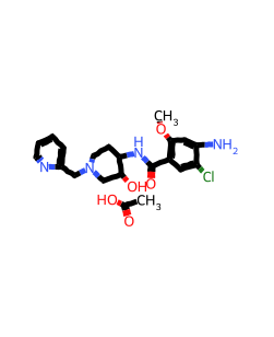 CC(=O)O.COc1cc(N)c(Cl)cc1C(=O)NC1CCN(Cc2ccccn2)CC1O